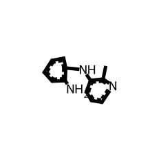 Cc1ncccc1Nc1ccccc1N